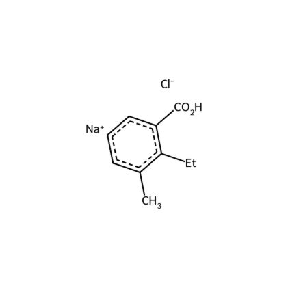 CCc1c(C)cccc1C(=O)O.[Cl-].[Na+]